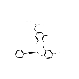 COc1ccc(OCC#Cc2ccccc2)c(COc2c(Cl)cc(CC(N)C(=O)O)cc2Cl)c1